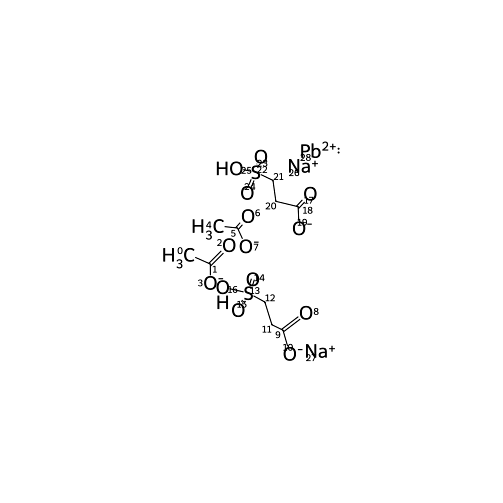 CC(=O)[O-].CC(=O)[O-].O=C([O-])CCS(=O)(=O)O.O=C([O-])CCS(=O)(=O)O.[Na+].[Na+].[Pb+2]